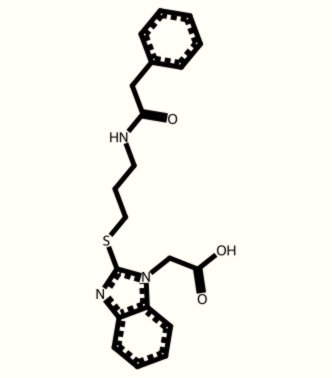 O=C(O)Cn1c(SCCCNC(=O)Cc2ccccc2)nc2ccccc21